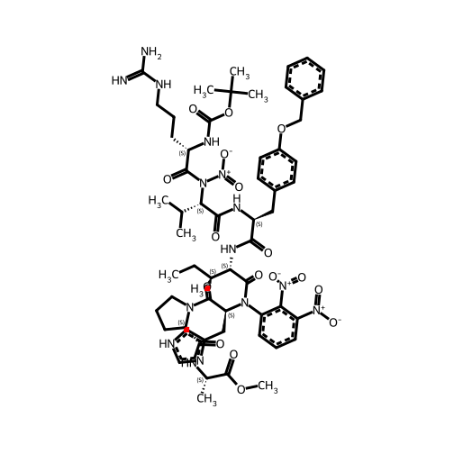 CC[C@H](C)[C@H](NC(=O)[C@H](Cc1ccc(OCc2ccccc2)cc1)NC(=O)[C@H](C(C)C)N(C(=O)[C@H](CCCNC(=N)N)NC(=O)OC(C)(C)C)[N+](=O)[O-])C(=O)N(c1cccc([N+](=O)[O-])c1[N+](=O)[O-])[C@@H](Cc1c[nH]cn1)C(=O)N1CCC[C@H]1C(=O)N[C@@H](C)C(=O)OC